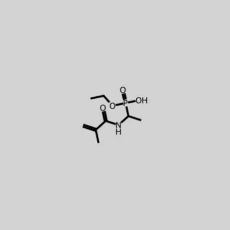 C=C(C)C(=O)NC(C)P(=O)(O)OCC